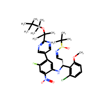 COc1cccc(Cl)c1[C@@H](C/C=N\[S@+]([O-])C(C)(C)C)Nc1cc(-c2cnc(C(C)(C)O[Si](C)(C)C(C)(C)C)nc2)c(F)cc1[N+](=O)[O-]